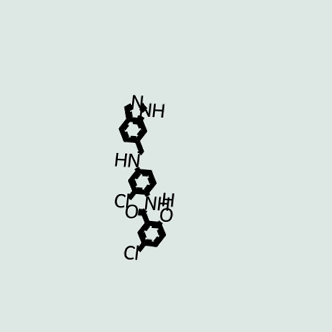 O=C(Nc1ccc(NCc2ccc3cn[nH]c3c2)cc1Cl)c1cc(Cl)ccc1O